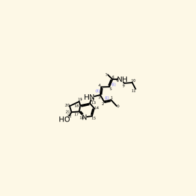 C/C=C/C(=C\C=C(/C)NCCC)Nc1ccnc2c1CCC2O